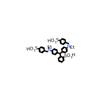 CCN(Cc1ccc(S(=O)(=O)O)cc1)c1ccc(C(c2ccc(N(CC)Cc3ccc(S(=O)(=O)O)cc3)cc2)c2ccccc2S(=O)(=O)O)cc1